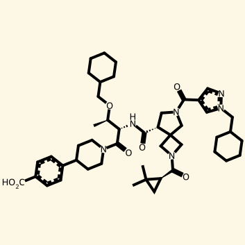 C[C@@H](OCC1CCCCC1)[C@H](NC(=O)[C@@H]1CN(C(=O)c2cnn(CC3CCCCC3)c2)CC12CN(C(=O)[C@H]1CC1(C)C)C2)C(=O)N1CCC(c2ccc(C(=O)O)cc2)CC1